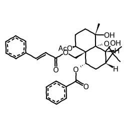 CC(=O)O[C@H]1CC[C@](C)(O)[C@]23OC(C)(C)[C@H](C[C@H](OC(=O)c4ccccc4)[C@]12COC(=O)/C=C/c1ccccc1)[C@H]3O